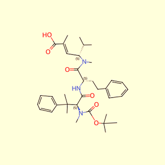 CC(=C[C@H](C(C)C)N(C)C(=O)[C@H](CCc1ccccc1)NC(=O)[C@@H](N(C)C(=O)OC(C)(C)C)C(C)(C)c1ccccc1)C(=O)O